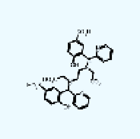 O=C(O)CN(CCN(CC(=O)O)[C@H](c1ccccn1)c1cc(S(=O)(=O)O)ccc1O)C(c1ccccn1)c1cc(S(=O)(=O)O)ccc1O